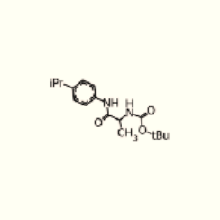 CC(NC(=O)OC(C)(C)C)C(=O)Nc1ccc(C(C)C)cc1